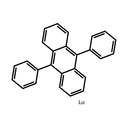 [Lu].c1ccc(-c2c3ccccc3c(-c3ccccc3)c3ccccc23)cc1